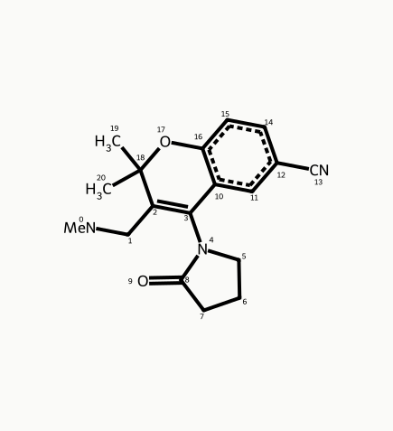 CNCC1=C(N2CCCC2=O)c2cc(C#N)ccc2OC1(C)C